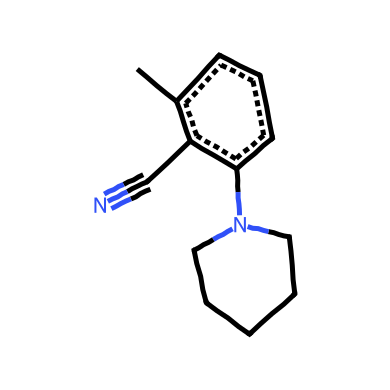 Cc1cccc(N2CCCCC2)c1C#N